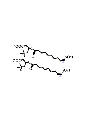 CCCCCCCC/C=C\CCCCCCCC(=O)OC(CC(=O)[O-])C[N+](C)(C)C.CCCCCCCC/C=C\CCCCCCCC(=O)OC(CC(=O)[O-])C[N+](C)(C)C